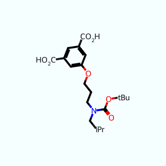 CC(C)CN(CCCOc1cc(C(=O)O)cc(C(=O)O)c1)C(=O)OC(C)(C)C